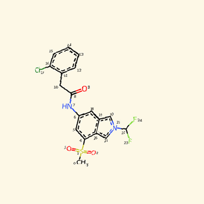 CS(=O)(=O)c1cc(NC(=O)Cc2ccccc2Cl)cc2cn(C(F)F)cc12